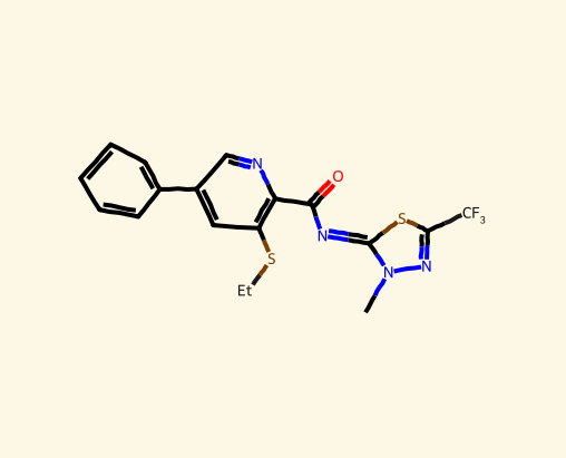 CCSc1cc(-c2ccccc2)cnc1C(=O)/N=c1\sc(C(F)(F)F)nn1C